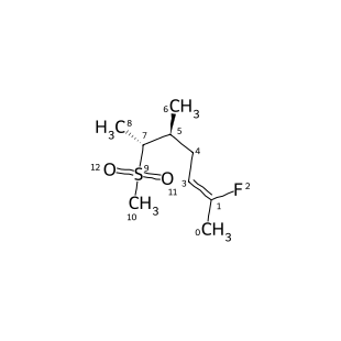 C/C(F)=C/C[C@H](C)[C@@H](C)S(C)(=O)=O